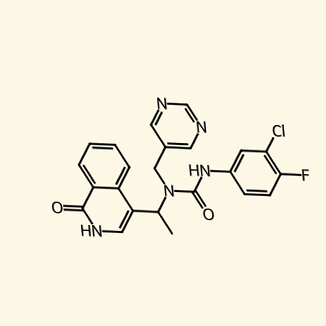 CC(c1c[nH]c(=O)c2ccccc12)N(Cc1cncnc1)C(=O)Nc1ccc(F)c(Cl)c1